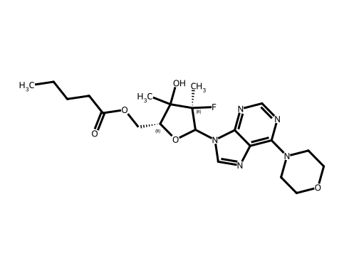 CCCCC(=O)OC[C@H]1OC(n2cnc3c(N4CCOCC4)ncnc32)[C@](C)(F)C1(C)O